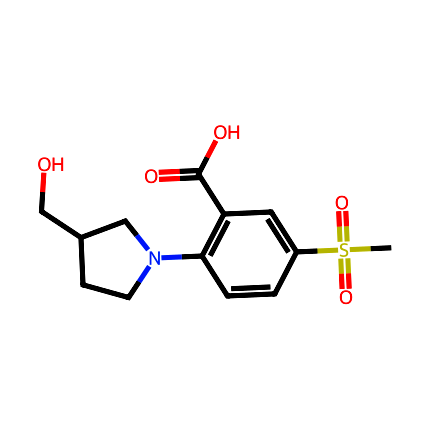 CS(=O)(=O)c1ccc(N2CCC(CO)C2)c(C(=O)O)c1